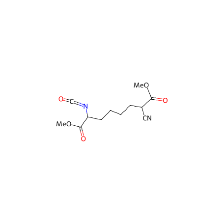 COC(=O)C(C#N)CCCCC(N=C=O)C(=O)OC